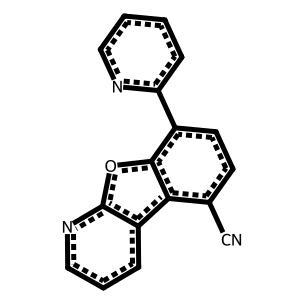 N#Cc1ccc(-c2ccccn2)c2oc3ncccc3c12